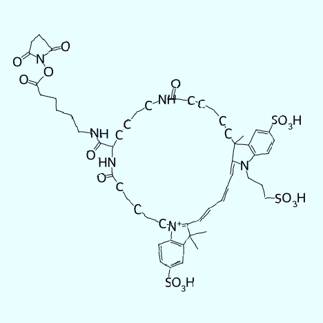 CC1(C)C2=[N+](CCCCCC(=O)NC(C(=O)NCCCCCC(=O)ON3C(=O)CCC3=O)CCCCNC(=O)CCCCCC3(C)/C(=C/C=C/C=C/2)N(CCCS(=O)(=O)O)c2ccc(S(=O)(=O)O)cc23)c2ccc(S(=O)(=O)O)cc21